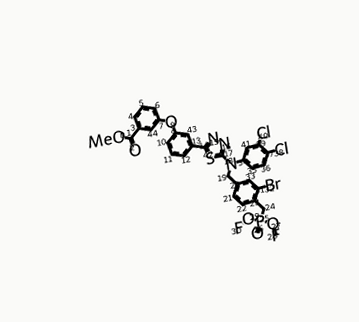 COC(=O)c1cccc(Oc2cccc(-c3nnc(N(Cc4ccc(CP(=O)(OF)OF)c(Br)c4)c4ccc(Cl)c(Cl)c4)s3)c2)c1